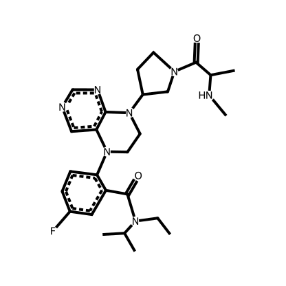 CCN(C(=O)c1cc(F)ccc1N1CCN(C2CCN(C(=O)C(C)NC)C2)c2ncncc21)C(C)C